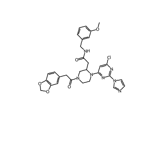 COc1cccc(CNC(=O)CC2CN(C(=O)Cc3ccc4c(c3)OCO4)CCN2c2cc(Cl)nc(-n3ccnc3)n2)c1